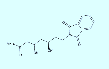 COC(=O)CC(O)C[C@H](O)CCN1C(=O)c2ccccc2C1=O